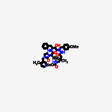 COC(=O)NCC(C)(C)CC(=O)NN(Cc1ccc(OC)cc1)CC(O)C(Cc1ccccc1)NC(=O)C(N1CCN(Cc2cnccc2C)C1=O)C(C)(C)C